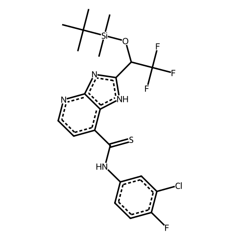 CC(C)(C)[Si](C)(C)OC(c1nc2nccc(C(=S)Nc3ccc(F)c(Cl)c3)c2[nH]1)C(F)(F)F